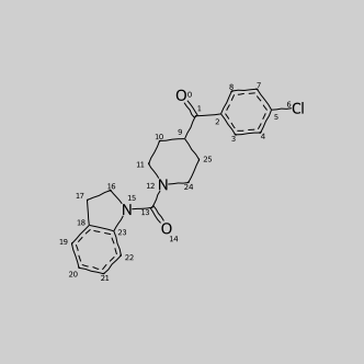 O=C(c1ccc(Cl)cc1)C1CCN(C(=O)N2CCc3ccccc32)CC1